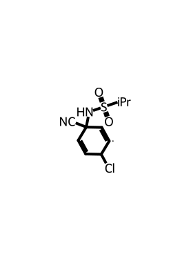 CC(C)S(=O)(=O)NC1(C#N)C=[C]C(Cl)C=C1